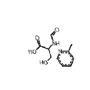 Cc1ccccn1.O=CNC(CO)C(=O)O